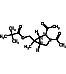 CC(=O)[C@@H]1[C@@H]2[C@H](CN1C(C)=O)C2(C)COC(=O)C(C)(C)C